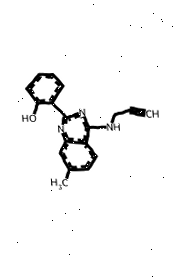 C#CCNc1nc(-c2ccccc2O)nc2cc(C)ccc12